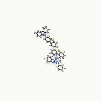 C1=CCC(C2=NC(c3cccc4sc5c(-c6ccc7sc8cc(-n9c%10c(c%11ccccc%119)C=CCC%10)ccc8c7c6)cccc5c34)NC(c3ccccc3)N2)C=C1